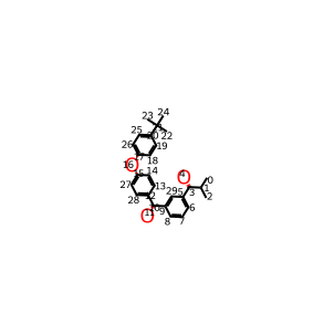 CC(C)C(=O)c1cccc(C(=O)c2ccc(Oc3ccc(C(C)(C)C)cc3)cc2)c1